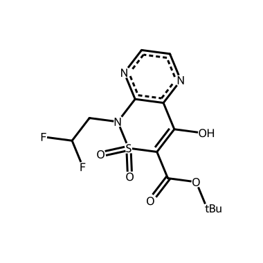 CC(C)(C)OC(=O)C1=C(O)c2nccnc2N(CC(F)F)S1(=O)=O